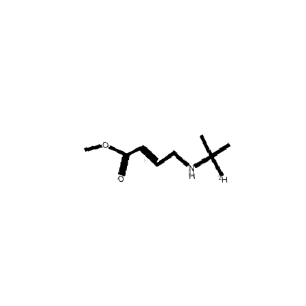 [2H]C(C)(C)NC/C=C/C(=O)OC